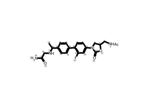 CC(=O)NCC1CN(c2ccc(-c3ccc(C(C)NCC(N)=O)cc3)c(F)c2)C(=O)O1